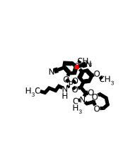 CCCCCNP(=O)(Oc1cc(C#N)ccc1C#N)OC(C(=O)N(C)CC1OCCCCO1)c1cc(OC)cc(OC)c1